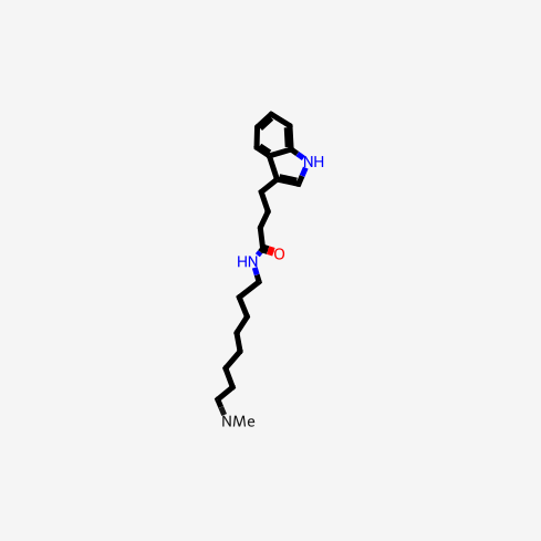 CNCCCCCCCCNC(=O)CCCc1c[nH]c2ccccc12